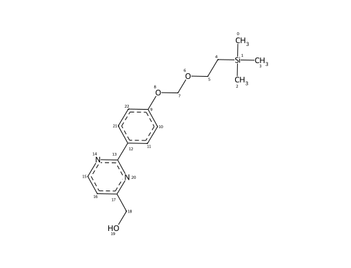 C[Si](C)(C)CCOCOc1ccc(-c2nccc(CO)n2)cc1